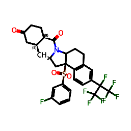 C[C@H]1CC(=O)CC[C@H]1C(=O)N1CCC2(S(=O)(=O)c3cccc(F)c3)c3ccc(C(F)(C(F)(F)F)C(F)(F)F)cc3CCC12